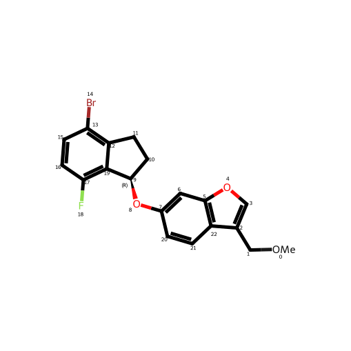 COCc1coc2cc(O[C@@H]3CCc4c(Br)ccc(F)c43)ccc12